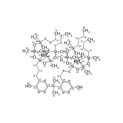 CCCC[Si](C)(C)O[Si](C)(C)O[Si](C)(CCCc1cc(C(C)(C)c2ccc(O)cc2CCC[Si](C)(O[Si](C)(C)O[Si](C)(C)CCCC)O[Si](C)(C)O[Si](C)(C)CCCC)ccc1O)O[Si](C)(C)O[Si](C)(C)CCCC